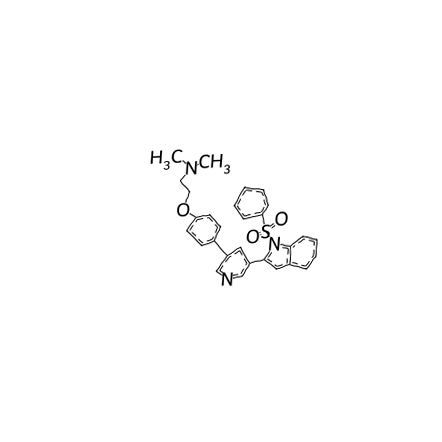 CN(C)CCOc1ccc(-c2cncc(-c3cc4ccccc4n3S(=O)(=O)c3ccccc3)c2)cc1